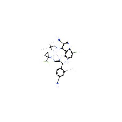 Cc1cc(C#N)ccc1[C@H](Nc1cc(Cl)c2ncc(C#N)c(NCC(C)(C)C)c2c1)C1=CN(C2(C(F)F)CC2)NN1